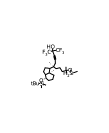 C[SiH2]OC(C)(C)CCC[C@](C)(CC#CC(O)(C(F)(F)F)C(F)(F)F)C1CCC2[C@@H](O[Si](C)(C)C(C)(C)C)CCC[C@@]21C